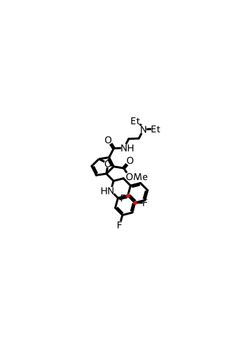 CCN(CC)CCNC(=O)C1=C(C(=O)OC)C2(C(Cc3ccccc3F)Nc3cc(F)cc(F)c3)C=CC1O2